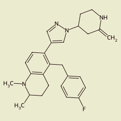 C=C1CC(n2cc(-c3ccc4c(c3Cc3ccc(F)cc3)CCC(C)N4C)cn2)CCN1